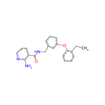 CCc1ccccc1Oc1cccc(CNC(=O)c2cccnc2N)c1